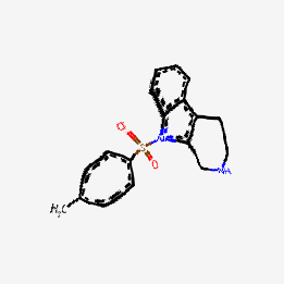 Cc1ccc(S(=O)(=O)n2c3c(c4ccccc42)CCNC3)cc1